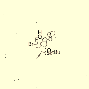 CC#CCC(C)C(/C=C/C1C(OC2CCCCO2)C[C@H](O)[C@@H]1c1cccc(Br)c1F)O[Si](C)(C)C(C)(C)C